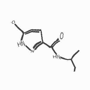 CC(C)NC(=O)c1cc([O])[nH]n1